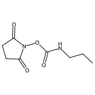 CCCNC(=O)ON1C(=O)CCC1=O